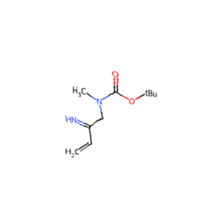 C=CC(=N)CN(C)C(=O)OC(C)(C)C